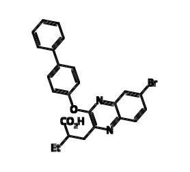 CCC(Cc1nc2ccc(Br)cc2nc1Oc1ccc(-c2ccccc2)cc1)C(=O)O